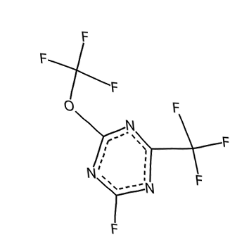 Fc1nc(OC(F)(F)F)nc(C(F)(F)F)n1